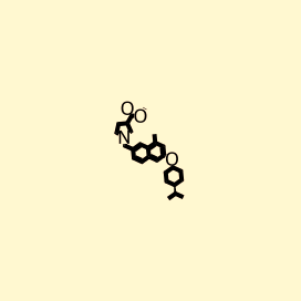 COC(=O)C1CCN(Cc2ccc3cc(O[C@H]4CC[C@H](C(C)C)CC4)cc(C)c3c2)C1